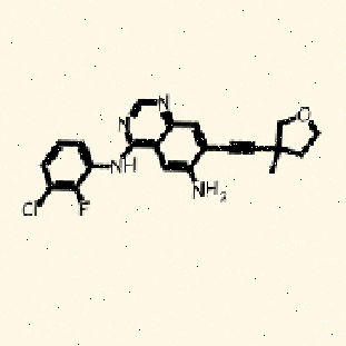 CC1(C#Cc2cc3ncnc(Nc4cccc(Cl)c4F)c3cc2N)CCOC1